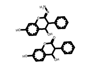 NN=C1Oc2cc(O)ccc2C(O)C1c1ccccc1.O=C1Oc2cc(O)ccc2C(O)C1c1ccccc1